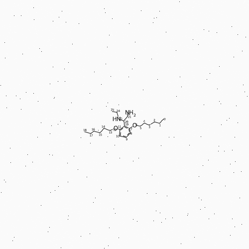 CCCCCCOc1cccc(OCCCCCC)c1C(CN)NCC